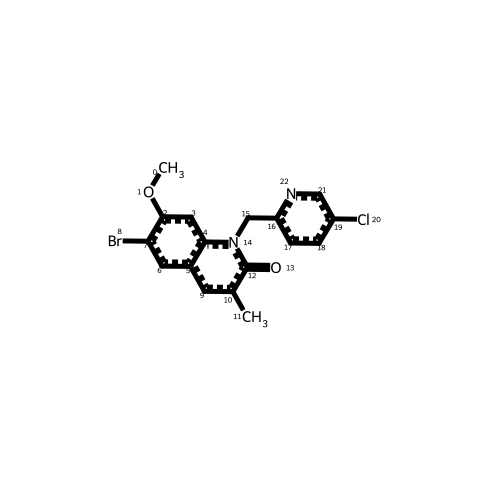 COc1cc2c(cc1Br)cc(C)c(=O)n2Cc1ccc(Cl)cn1